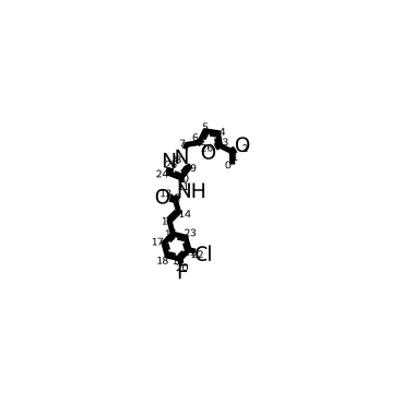 CC(=O)c1ccc(Cn2cc(NC(=O)C=Cc3ccc(F)c(Cl)c3)cn2)o1